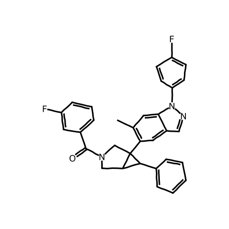 Cc1cc2c(cnn2-c2ccc(F)cc2)cc1C12CN(C(=O)c3cccc(F)c3)CC1C2c1ccccc1